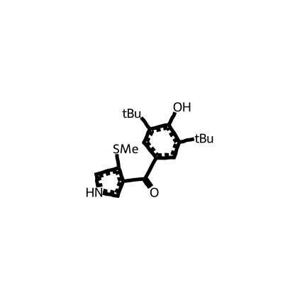 CSc1c[nH]cc1C(=O)c1cc(C(C)(C)C)c(O)c(C(C)(C)C)c1